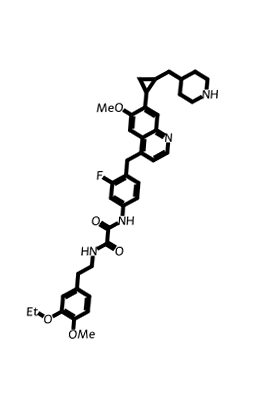 CCOc1cc(CCNC(=O)C(=O)Nc2ccc(Cc3ccnc4cc(C5CC5CC5CCNCC5)c(OC)cc34)c(F)c2)ccc1OC